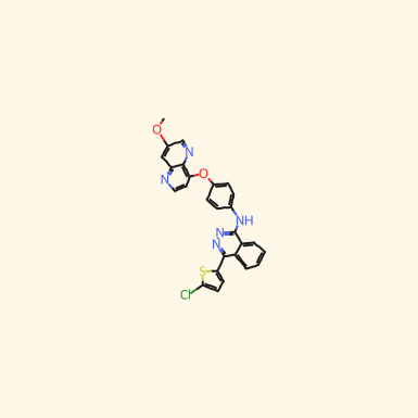 COc1cnc2c(Oc3ccc(Nc4nnc(-c5ccc(Cl)s5)c5ccccc45)cc3)ccnc2c1